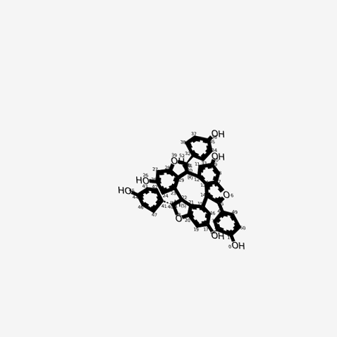 Oc1ccc(-c2oc3cc(O)cc4c3c2-c2cc(O)cc3c2[C@H](c2cc(O)cc5c2[C@@H]4[C@H](c2ccc(O)cc2)O5)[C@@H](c2ccc(O)cc2)O3)cc1